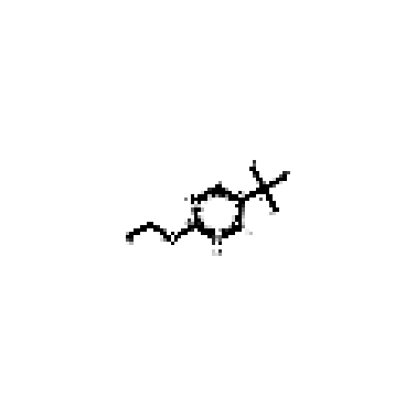 CCOc1ncc(C(C)(C)C)cn1